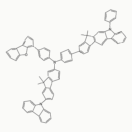 CC1(C)c2cc(N(c3ccc(-c4ccc5c(c4)C(C)(C)c4cc6c(cc4-5)c4ccccc4n6-c4ccccc4)cc3)c3ccc(-c4cccc5c4oc4ccccc45)cc3)ccc2-c2ccc(-n3c4ccccc4c4ccccc43)cc21